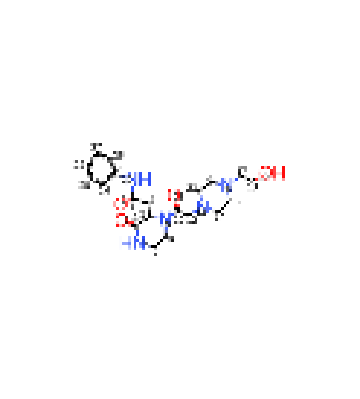 O=C(CC1C(=O)NCCN1C(=O)CN1CCN(CCO)CC1)Nc1ccccc1